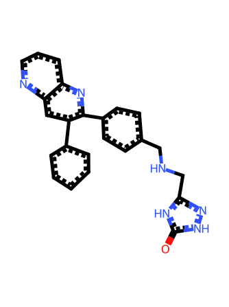 O=c1[nH]nc(CNCc2ccc(-c3nc4cccnc4cc3-c3ccccc3)cc2)[nH]1